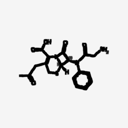 CC(=O)CC1=C(C(=O)O)N2C(=O)[C@@H](N(C(=O)CN)c3ccccc3)[C@@H]2SC1